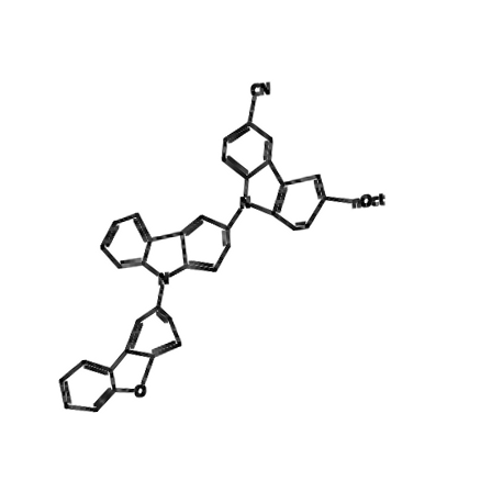 CCCCCCCCc1ccc2c(c1)c1cc(C#N)ccc1n2-c1ccc2c(c1)c1ccccc1n2-c1ccc2oc3ccccc3c2c1